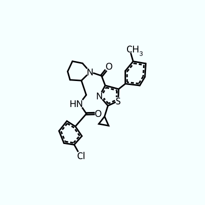 Cc1cccc(-c2sc(C3CC3)nc2C(=O)N2CCCCC2CNC(=O)c2cccc(Cl)c2)c1